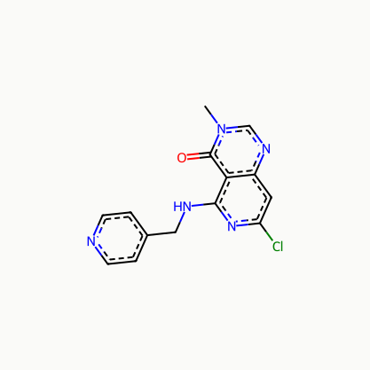 Cn1cnc2cc(Cl)nc(NCc3ccncc3)c2c1=O